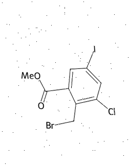 COC(=O)c1cc(I)cc(Cl)c1CBr